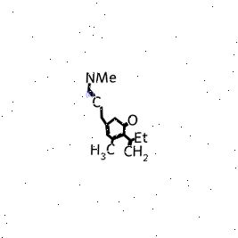 C=C(CC)C1=C(C)C=C(CCC/C=C/NC)CC1=O